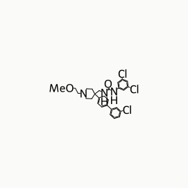 COCCN1CCC(CNC(=O)Nc2cc(Cl)cc(Cl)c2)(C2=CC=C(c3cccc(Cl)c3)CC2)CC1